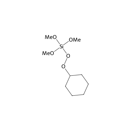 CO[Si](OC)(OC)OOC1CCCCC1